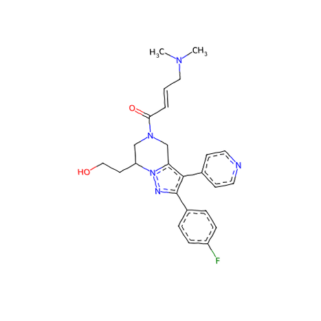 CN(C)CC=CC(=O)N1Cc2c(-c3ccncc3)c(-c3ccc(F)cc3)nn2C(CCO)C1